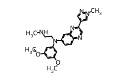 CNCCN(c1cc(OC)cc(OC)c1)c1ccc2ncc(-c3cnn(C)c3)nc2c1